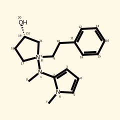 CN(c1cccn1C)[N+]1(CCc2ccccc2)CC[C@H](O)C1